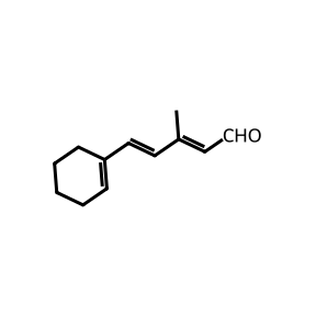 CC(/C=C/C1=CCCCC1)=C\C=O